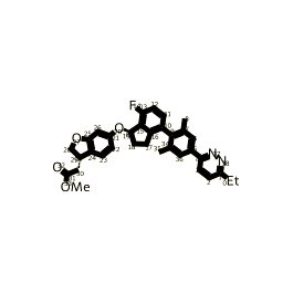 CCc1ccc(-c2cc(C)c(-c3ccc(F)c4c3CC[C@H]4Oc3ccc4c(c3)OC[C@H]4CC(=O)OC)c(C)c2)nn1